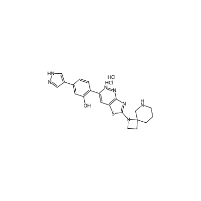 Cl.Cl.Oc1cc(-c2cn[nH]c2)ccc1-c1cc2sc(N3CCC34CCCNC4)nc2nn1